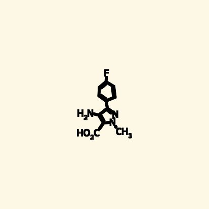 Cn1nc(-c2ccc(F)cc2)c(N)c1C(=O)O